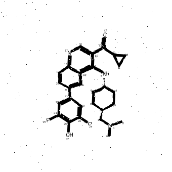 CN(C)C[C@H]1CC[C@H](Nc2c(C(=O)C3CC3)cnc3ccc(-c4cc(F)c(O)c(Cl)c4)cc23)CC1